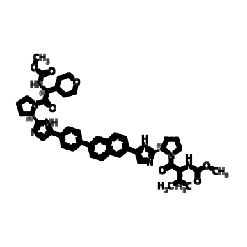 COC(=O)NC(C(=O)N1CCC[C@H]1c1ncc(-c2ccc3cc(-c4ccc(-c5cnc([C@@H]6CCCN6C(=O)[C@@H](NC(=O)OC)C6CCOCC6)[nH]5)cc4)ccc3c2)[nH]1)C(C)C